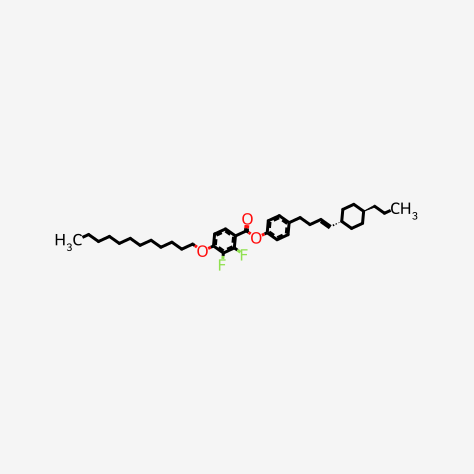 CCCCCCCCCCCCOc1ccc(C(=O)Oc2ccc(CCC=C[C@H]3CC[C@H](CCC)CC3)cc2)c(F)c1F